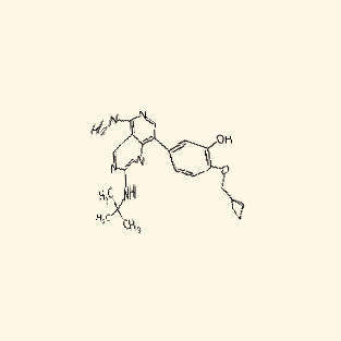 CC(C)(C)Nc1ncc2c(N)ncc(-c3ccc(OCC4CC4)c(O)c3)c2n1